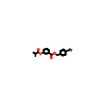 C=C(C)C(=O)Oc1cccc(C(=O)OCc2ccc(C(C)C)cc2)c1